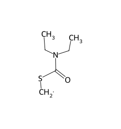 [CH2]SC(=O)N(CC)CC